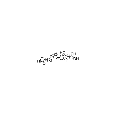 C[C@@H]1CC(C(O)C(C)(C)O)OC2C1C1(C)CCC34CC35CCC(OC3CN([C@@H]6CCCNC6=O)CCO3)C(C)(C)[C@@H]5CCC4[C@]1(C)[C@H]2O